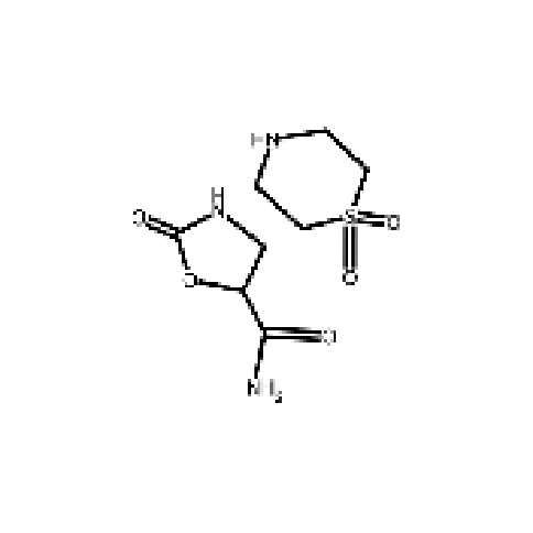 NC(=O)C1CNC(=O)O1.O=S1(=O)CCNCC1